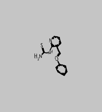 NC(=S)Nc1ncccc1COc1ccccc1